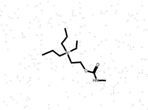 CCC[N+](CC)(CCC)CCOC(=O)NC